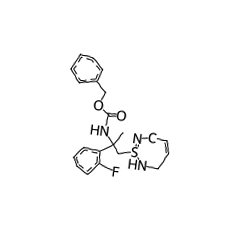 CC(CS1=NCC=CCN1)(NC(=O)OCc1ccccc1)c1ccccc1F